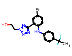 CCc1ccc(Nc2ccc(C(C)(F)F)cc2)c(-c2nnn(CCO)n2)c1